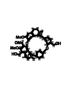 COc1cc2c3cc1Oc1c(OC)c(OC)c(CO)c4c1[C@H](Cc1ccc(cc1)Oc1cc(ccc1CO)C[C@@H]3N(C)CC2)N(C)CC4